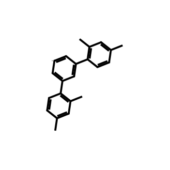 Cc1ccc(-c2c[c]cc(-c3ccc(C)cc3C)c2)c(C)c1